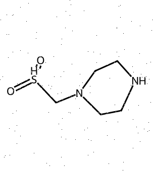 O=[SH](=O)CN1CCNCC1